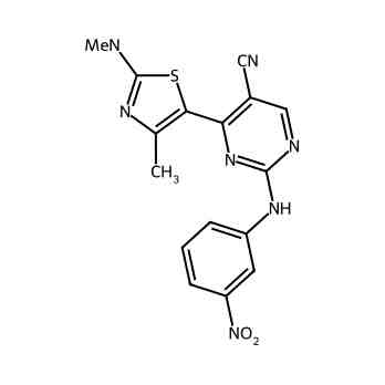 CNc1nc(C)c(-c2nc(Nc3cccc([N+](=O)[O-])c3)ncc2C#N)s1